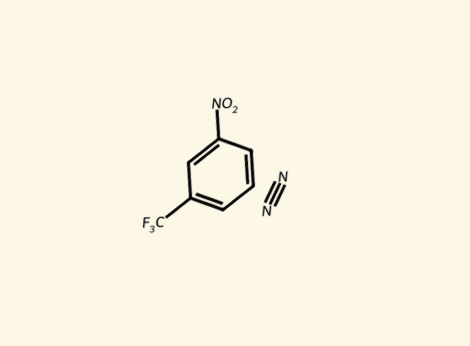 N#N.O=[N+]([O-])c1cccc(C(F)(F)F)c1